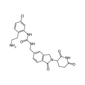 NCCc1ccc(Cl)cc1NC(=O)NCc1ccc2c(c1)CN(C1CCC(=O)NC1=O)C2=O